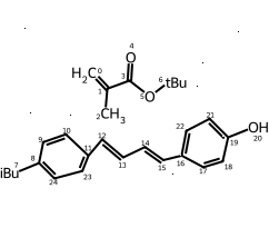 C=C(C)C(=O)OC(C)(C)C.CCC(C)c1ccc(C=CC=Cc2ccc(O)cc2)cc1